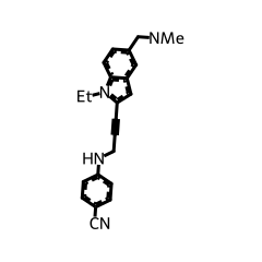 CCn1c(C#CCNc2ccc(C#N)cc2)cc2cc(CNC)ccc21